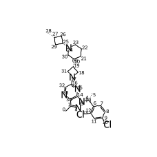 Cc1nn([C@H](C)c2ccc(Cl)cc2Cl)c2nc(N3CC([C@H]4CCCN([C@H]5C[C@@H](C)C5)C4)C3)cnc12